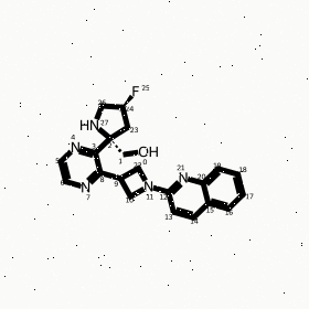 OC[C@@]1(c2nccnc2C2CN(c3ccc4ccccc4n3)C2)C[C@H](F)CN1